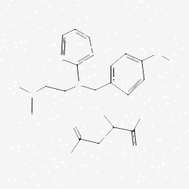 COc1ccc(CN(CCN(C)C)c2ccccn2)cc1.O=C(O)CC(O)C(=O)O